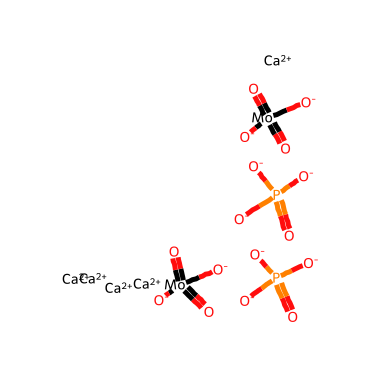 O=P([O-])([O-])[O-].O=P([O-])([O-])[O-].[Ca+2].[Ca+2].[Ca+2].[Ca+2].[Ca+2].[O]=[Mo](=[O])([O-])[O-].[O]=[Mo](=[O])([O-])[O-]